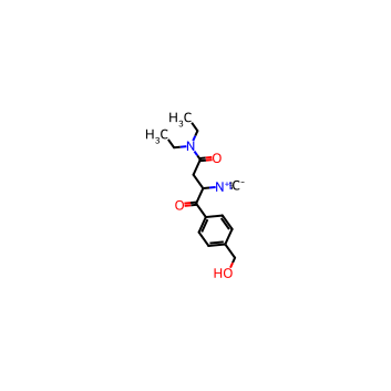 [C-]#[N+]C(CC(=O)N(CC)CC)C(=O)c1ccc(CO)cc1